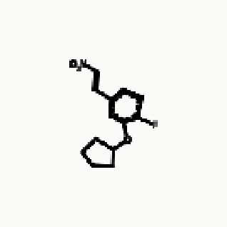 O=[N+]([O-])/C=C/c1ccc(F)c(OC2CCCC2)c1